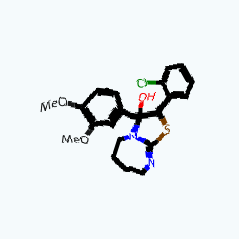 COc1ccc(C2(O)C(c3ccccc3Cl)SC3=NCCCCN32)cc1OC